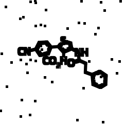 [C-]#[N+]c1ccc(-c2scc(NC(=O)CCc3ccccc3)c2C(=O)O)cc1